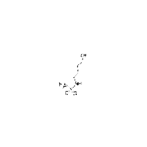 CCCCCNS(=O)(=O)[SiH3]